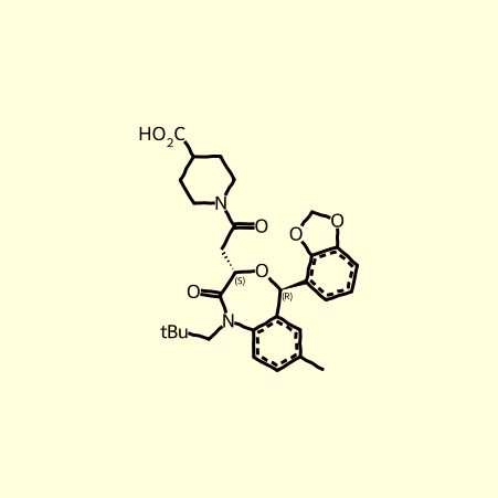 Cc1ccc2c(c1)[C@H](c1cccc3c1OCO3)O[C@@H](CC(=O)N1CCC(C(=O)O)CC1)C(=O)N2CC(C)(C)C